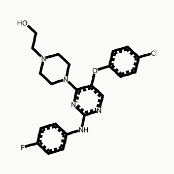 OCCN1CCN(c2nc(Nc3ccc(F)cc3)ncc2Oc2ccc(Cl)cc2)CC1